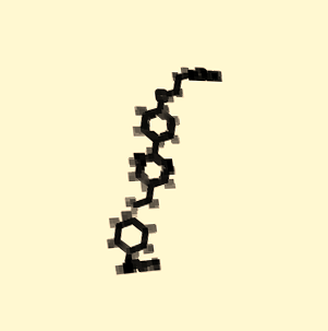 CCCCCCCCCCCCOc1ccc(-c2ncc(CC[C@H]3CC[C@H](CCCCC)CC3)cn2)cc1